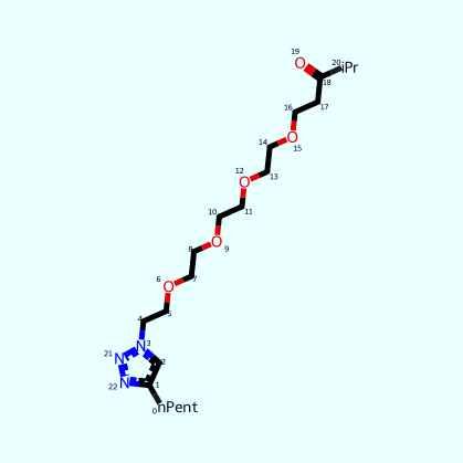 CCCCCc1cn(CCOCCOCCOCCOCCC(=O)C(C)C)nn1